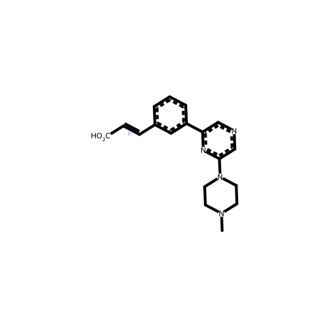 CN1CCN(c2cncc(-c3cccc(/C=C/C(=O)O)c3)n2)CC1